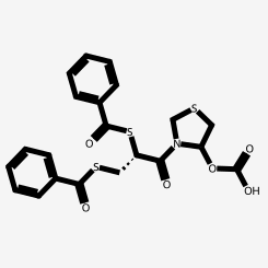 O=C(O)OC1CSCN1C(=O)[C@H](CSC(=O)c1ccccc1)SC(=O)c1ccccc1